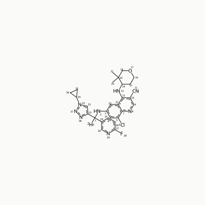 [2H]C(Nc1cc(Cl)c2ncc(C#N)c(NC3CCOCC3(C)C)c2c1)(c1ccc(F)nc1)c1cn(C2CC2)nn1